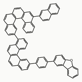 c1ccc2cc(-c3cc4ccc5ccc6ccc(-c7cccc8c7ccc7ccc9ccc(-c%10ccc(-c%11ccc%12oc%13ccccc%13c%12c%11)cc%10)cc9c78)cc6c5c4c4ccccc34)ccc2c1